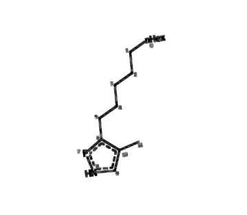 CCCCCCCCCCCc1p[nH]cc1C